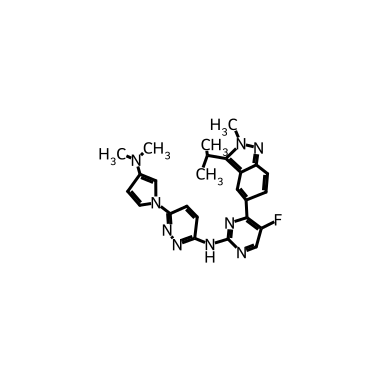 CC(C)c1c2cc(-c3nc(Nc4ccc(-n5ccc(N(C)C)c5)nn4)ncc3F)ccc2nn1C